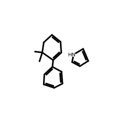 CC1(C)CC=CC=C1c1ccccc1.c1cc[nH]c1